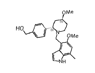 COc1cc(C)c2[nH]ccc2c1CN1CC[C@H](OC)C[C@H]1c1ccc(CO)cc1